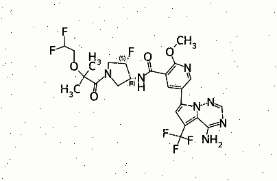 COc1ncc(-c2cc(C(F)(F)F)c3c(N)ncnn23)cc1C(=O)N[C@@H]1CN(C(=O)C(C)(C)OCC(F)F)C[C@@H]1F